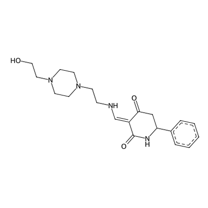 O=C1CC(c2ccccc2)NC(=O)C1=CNCCN1CCN(CCO)CC1